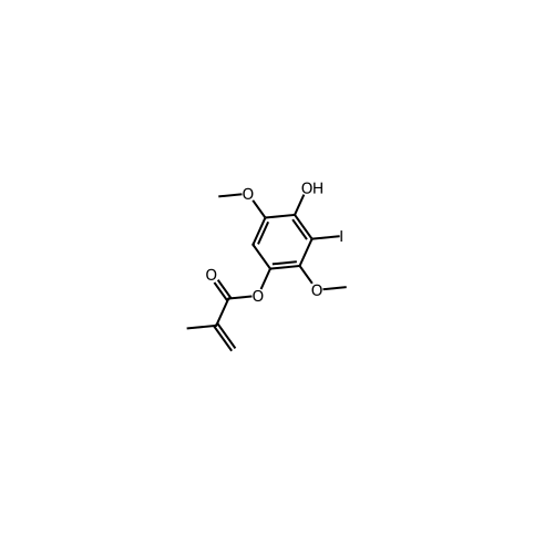 C=C(C)C(=O)Oc1cc(OC)c(O)c(I)c1OC